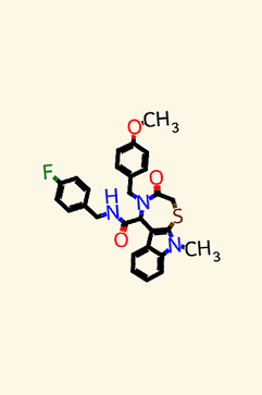 COc1ccc(CN2C(=O)CSc3c(c4ccccc4n3C)C2C(=O)NCc2ccc(F)cc2)cc1